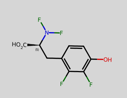 O=C(O)[C@H](Cc1ccc(O)c(F)c1F)N(F)F